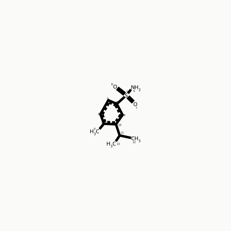 Cc1ccc(S(N)(=O)=O)cc1C(C)C